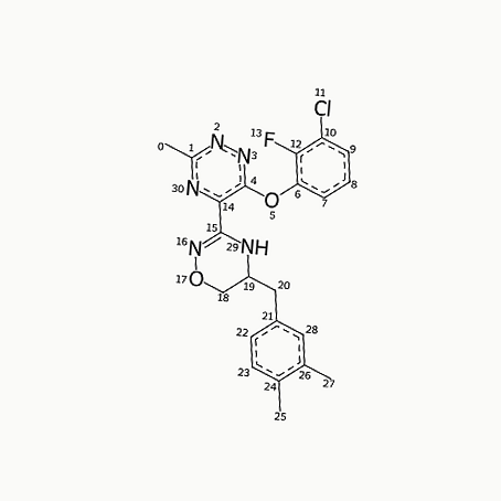 Cc1nnc(Oc2cccc(Cl)c2F)c(C2=NOCC(Cc3ccc(C)c(C)c3)N2)n1